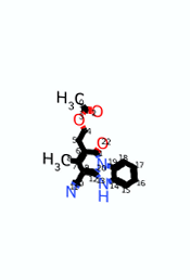 CC(=O)OCCc1c(C)c(C#N)c2[nH]c3ccccc3n2c1=O